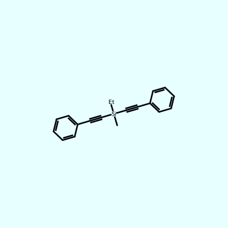 CC[Si](C)(C#Cc1ccccc1)C#Cc1ccccc1